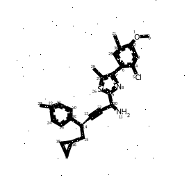 COc1cc(Cl)c(-c2nc(C(N)C#C[C@@H](CC3CC3)c3ccc(C)cc3)sc2C)cc1C